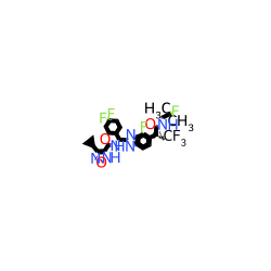 CC(C)(F)CNC(=O)[C@H](CC(F)(F)F)c1ccc2[nH]c(C(NC(=O)c3nonc3C3CC3)C3CCC(F)(F)CC3)nc2c1F